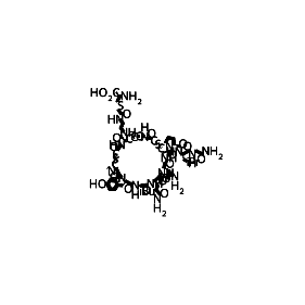 CC[C@H](C)[C@@H]1NC(=O)[C@H](Cc2ccc(O)cc2)NC(=O)[C@@H](N(C)C)CSCC(=O)N[C@@H](C(=O)NCCNC(=O)CSC[C@H](N)C(=O)O)CCCNC(=O)CSC[C@@H](C(=O)N2CCC[C@H]2C(=O)N[C@@H](CC(C)C)C(=O)NCC(N)=O)NC(=O)[C@H](CC(N)=O)NC(=O)[C@H](CCC(N)=O)NC1=O